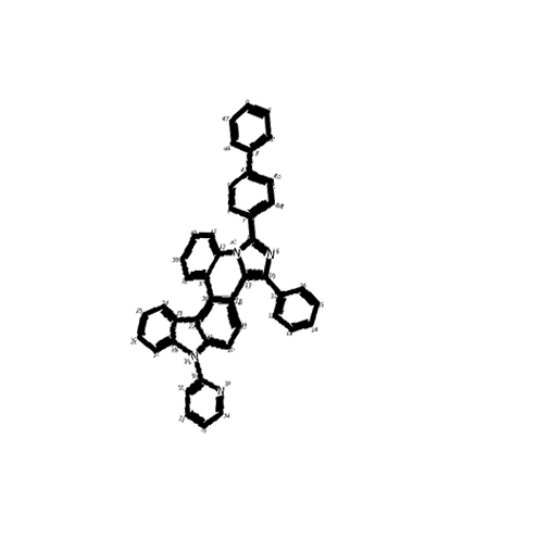 c1ccc(-c2ccc(-c3nc(-c4ccccc4)c4c5ccc6c(c7ccccc7n6-c6ccccn6)c5c5ccccc5n34)cc2)cc1